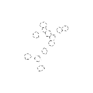 c1ccc(-c2nc(-c3ccccc3)nc(-c3ccc(-c4ccc5nc(-c6ccc7ccccc7c6)c6cc7c8ccccc8n(-c8ccccc8)c7cc6c5c4)cc3)n2)cc1